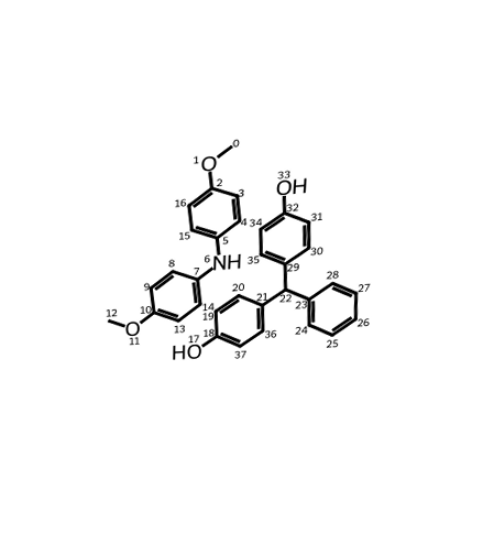 COc1ccc(Nc2ccc(OC)cc2)cc1.Oc1ccc(C(c2ccccc2)c2ccc(O)cc2)cc1